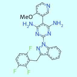 COc1ccncc1-c1c(N)nc(-n2nc(Cc3c(F)ccc(F)c3F)c3ccccc32)nc1N